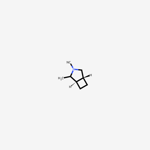 CC1[C@@H]2CC[C@H]2CN1C#N